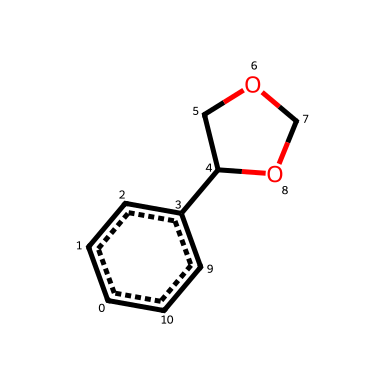 c1ccc(C2COCO2)cc1